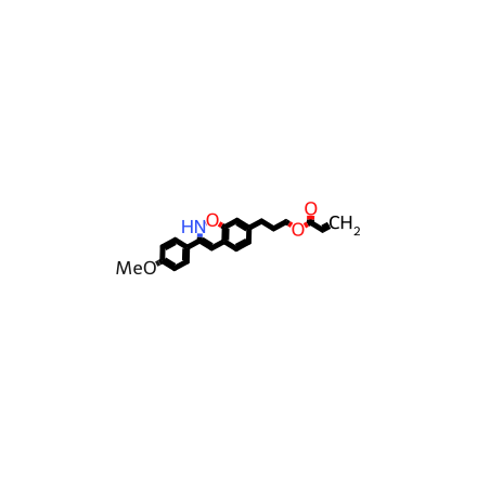 C=CC(=O)OCCCc1ccc2c(c1)ONC(c1ccc(OC)cc1)=C2